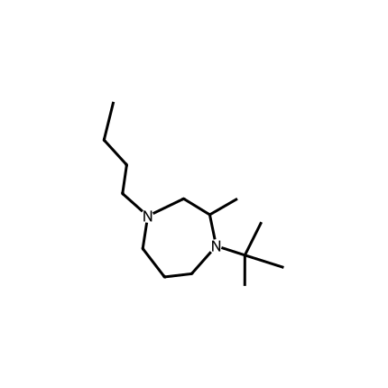 CCCCN1CCCN(C(C)(C)C)C(C)C1